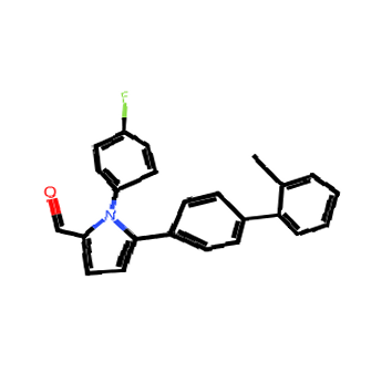 Cc1ccccc1-c1ccc(-c2ccc(C=O)n2-c2ccc(F)cc2)cc1